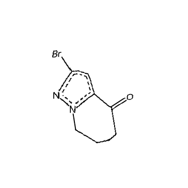 O=C1CCCn2nc(Br)cc21